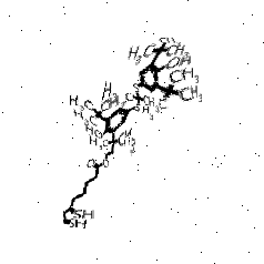 CC(C)(Sc1cc(C(C)(C)C)c(O)c(C(C)(C)C)c1)Sc1cc(C(C)(C)C)c(O)c(C(C)(C)CCOC(=O)CCCCC2=[SH][SH]=CC2)c1